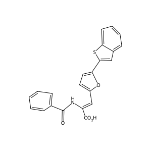 O=C(O)/C(=C/c1ccc(-c2cc3ccccc3s2)o1)NC(=O)c1ccccc1